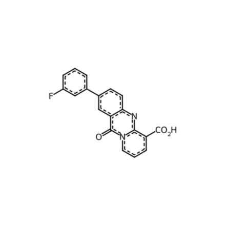 O=C(O)c1cccn2c(=O)c3cc(-c4cccc(F)c4)ccc3nc12